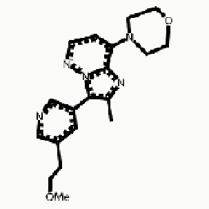 COCCc1cncc(-c2c(C)nc3c(N4CCOCC4)ccnn23)c1